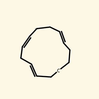 [CH]1/C=C/C/C=C/CCCC/C=C/C1